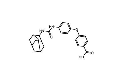 O=C(Nc1ccc(Oc2ccc(C(=O)O)cc2)cc1)NC1C2CC3CC(C2)CC1C3